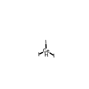 [I][GeH]([I])[I]